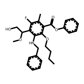 CCCCOc1c(NCc2ccccc2)c(C(CO)OC)c(F)c(C)c1C(=O)Oc1ccccc1